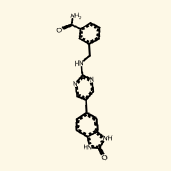 NC(=O)c1cccc(CNc2ncc(-c3ccc4[nH]c(=O)[nH]c4c3)cn2)c1